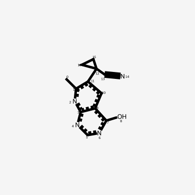 Cc1nc2ncnc(O)c2cc1C1(C#N)CC1